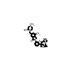 CC(C)[C@H]1CN(C)CCN1Cc1cc2c(c(C(F)(F)F)c1)CN(c1cccc(C3([C@@H](F)c4nncn4C4CC4)COC3)c1)C2=O